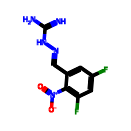 N=C(N)N/N=C/c1cc(F)cc(F)c1[N+](=O)[O-]